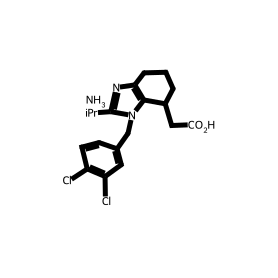 CC(C)c1nc2c(n1Cc1ccc(Cl)c(Cl)c1)C(CC(=O)O)CCC2.N